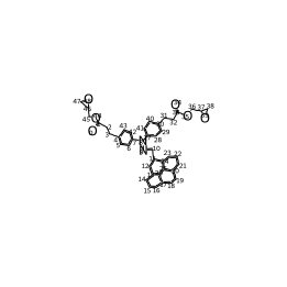 O=C(CCc1ccc(N(N=Cc2cc3cccc4ccc5cccc2c5c43)c2ccc(CCC(=O)OCC3CO3)cc2)cc1)OCC1CO1